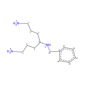 NCCCC(CCCN)NCc1ccccc1